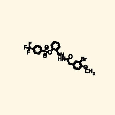 COc1ccc(CC(=O)NN=Cc2ccccc2OS(=O)(=O)c2ccc(C(F)(F)F)cc2)cc1Br